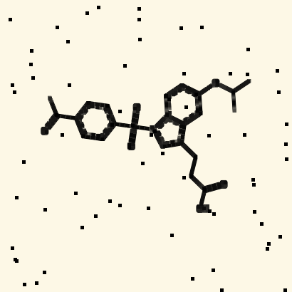 CC(=O)c1ccc(S(=O)(=O)n2cc(CCC(=O)O)c3cc(OC(C)C)ccc32)cc1